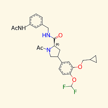 CC(=O)Nc1cccc(CNC(=O)[C@H]2CC(c3ccc(OC(F)F)c(OCC4CC4)c3)CN2C(C)=O)c1